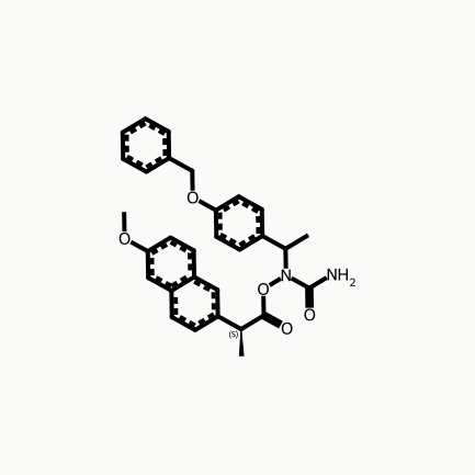 COc1ccc2cc([C@H](C)C(=O)ON(C(N)=O)C(C)c3ccc(OCc4ccccc4)cc3)ccc2c1